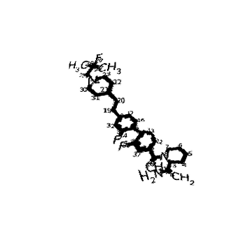 C=C(N)C1CCCCN1C(=C)c1ccc(-c2ccc(CCC3CCN(CC(C)(C)F)CC3)cc2F)c(F)c1